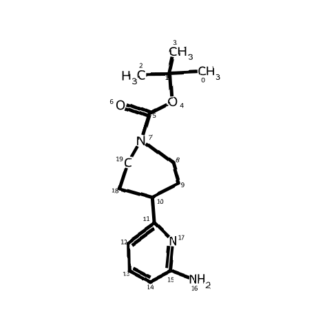 CC(C)(C)OC(=O)N1CCC(c2cccc(N)n2)CC1